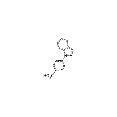 O=C(O)c1ccc(-n2ccc3ccccc32)cc1